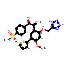 C=C(C(=O)c1ccc(S(N)(=O)=O)cc1)c1cc(-c2cccs2)c(OC)cc1OCc1nnn[nH]1